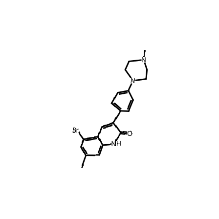 Cc1cc(Br)c2cc(-c3ccc(N4CCN(C)CC4)cc3)c(=O)[nH]c2c1